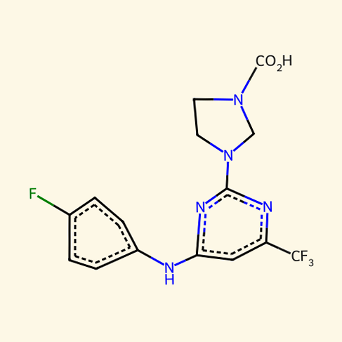 O=C(O)N1CCN(c2nc(Nc3ccc(F)cc3)cc(C(F)(F)F)n2)C1